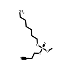 COP(=S)(OCCC#N)OCCCCCCN